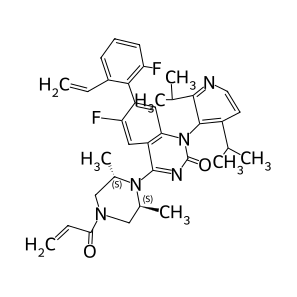 C=CC(=O)N1C[C@H](C)N(c2nc(=O)n(-c3c(C(C)C)ccnc3C(C)C)c3cc(-c4c(F)cccc4C=C)c(F)cc23)[C@@H](C)C1